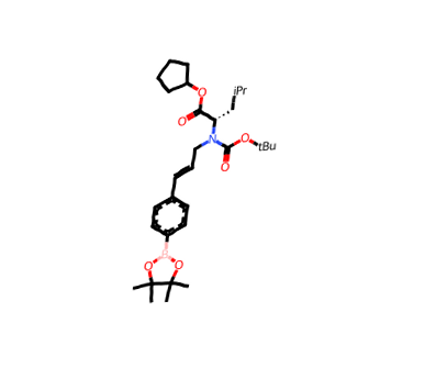 CC(C)C[C@@H](C(=O)OC1CCCC1)N(CC=Cc1ccc(B2OC(C)(C)C(C)(C)O2)cc1)C(=O)OC(C)(C)C